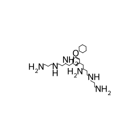 NCCCNCCC(N)Cc1cc(CC(N)CCNCCCN)cc(OC2CCCCC2)c1